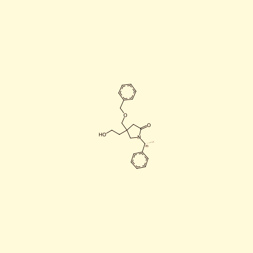 C[C@H](c1ccccc1)N1CC(CCO)(COCc2ccccc2)CC1=O